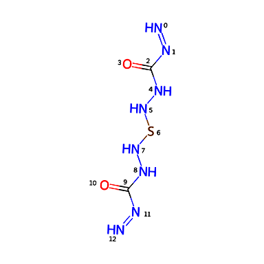 N=NC(=O)NNSNNC(=O)N=N